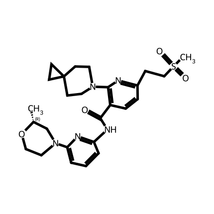 C[C@@H]1CN(c2cccc(NC(=O)c3ccc(CCS(C)(=O)=O)nc3N3CCC4(CC3)CC4)n2)CCO1